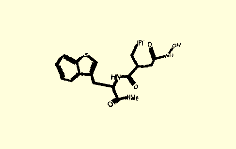 CNC(=O)C(Cc1csc2ccccc12)NC(=O)C(CC(=O)NO)CC(C)C